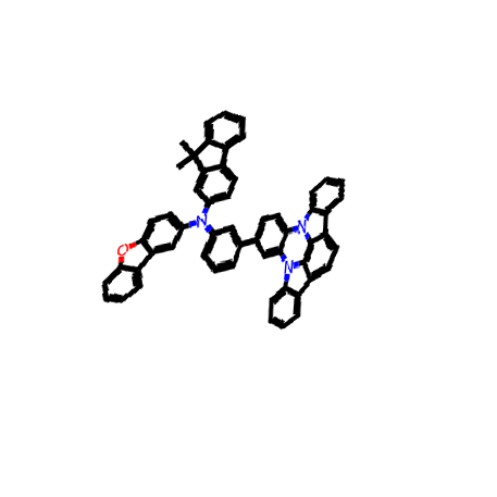 CC1(C)c2ccccc2-c2ccc(N(c3cccc(-c4ccc5c(c4)n4c6ccccc6c6ccc7c8ccccc8n5c7c64)c3)c3ccc4oc5ccccc5c4c3)cc21